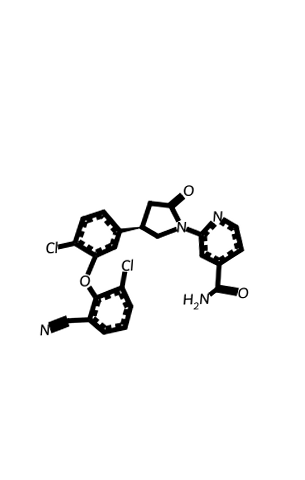 N#Cc1cccc(Cl)c1Oc1cc([C@H]2CC(=O)N(c3cc(C(N)=O)ccn3)C2)ccc1Cl